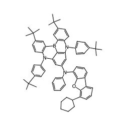 CC(C)(C)c1ccc(N2c3ccc(C(C)(C)C)cc3B3c4cc(C(C)(C)C)ccc4N(c4ccc(C(C)(C)C)cc4)c4cc(N(c5ccccc5)c5cccc6c5oc5c(C7CCCCC7)cccc56)cc2c43)cc1